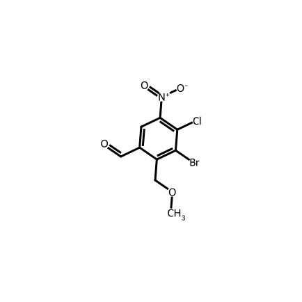 COCc1c(C=O)cc([N+](=O)[O-])c(Cl)c1Br